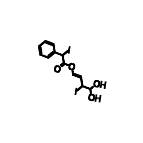 O=C(OC=CC(I)C(O)O)C(I)c1ccccc1